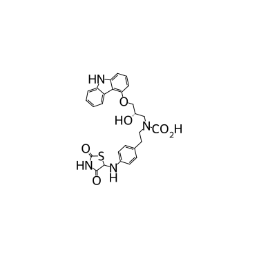 O=C1NC(=O)C(Nc2ccc(CCN(C[C@H](O)COc3cccc4[nH]c5ccccc5c34)C(=O)O)cc2)S1